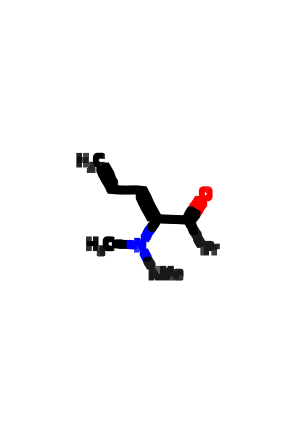 C=C/C=C(/C(=O)C(C)C)N(C)NC